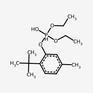 CCO[PH](O)(OCC)Oc1cc(C)ccc1C(C)(C)C